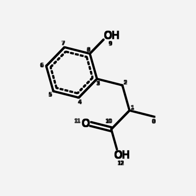 CC(Cc1ccccc1O)C(=O)O